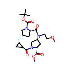 COCCN(C(=O)[C@@H]1C[C@H](F)CN1C(=O)OC(C)(C)C)[C@@H]1C[C@H](C(=O)OC)N(C(=O)C2CC2)C1